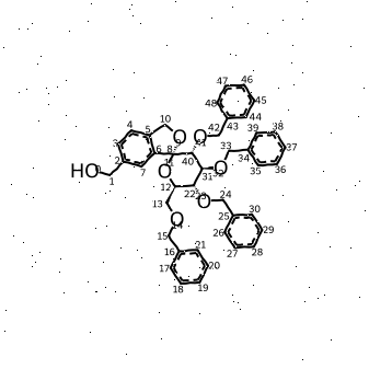 OCc1ccc2c(c1)[C@]1(OC2)O[C@H](COCc2ccccc2)[C@@H](OCc2ccccc2)[C@H](OCc2ccccc2)[C@H]1OCc1ccccc1